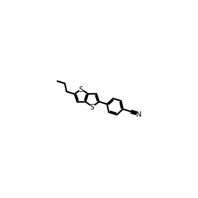 CCCc1cc2sc(-c3ccc(C#N)cc3)cc2s1